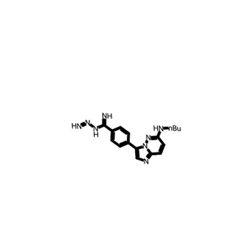 CCCCNc1ccc2ncc(-c3ccc(C(=N)NN=N)cc3)n2n1